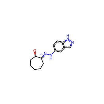 O=C1CCCCC/C1=N\Nc1ccc2[nH]ncc2c1